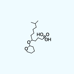 CC(C)CCCCC(CCCP(=O)(O)O)OC1CCCCO1